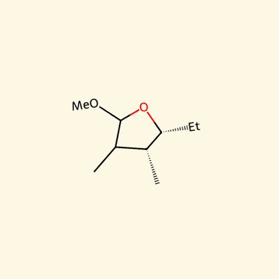 CC[C@H]1OC(OC)C(C)[C@H]1C